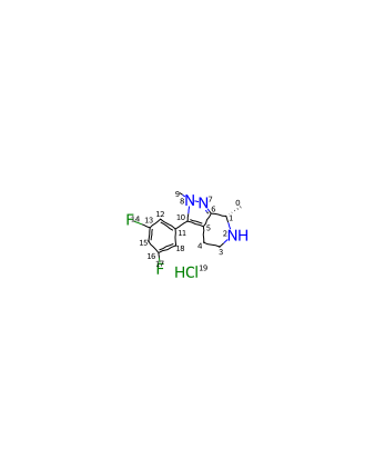 C[C@@H]1NCCc2c1nn(C)c2-c1cc(F)cc(F)c1.Cl